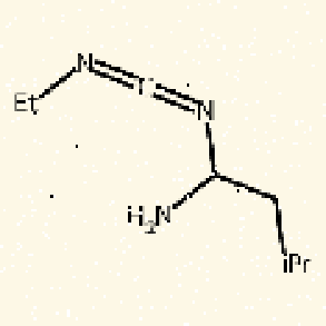 CCN=C=NC(N)CC(C)C